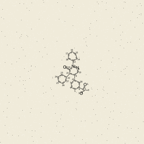 CS(=O)(=O)c1cccc(-c2cnn(-c3ccccc3)c(=O)c2-c2ccccc2)c1